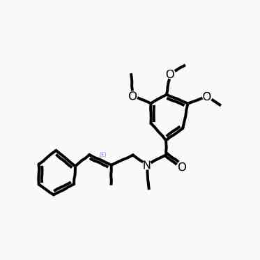 COc1cc(C(=O)N(C)C/C(C)=C/c2ccccc2)cc(OC)c1OC